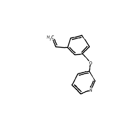 C=Cc1cccc(Oc2cccnc2)c1